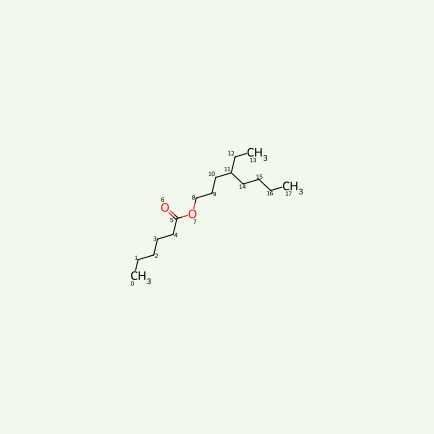 CCCCCC(=O)OCCCC(CC)CCCC